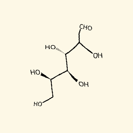 O=CC(O)[C@@H](O)[C@@H](O)[C@H](O)CO